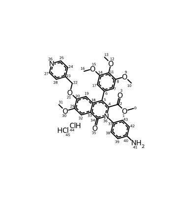 COC(=O)c1c(-c2cc(OC)c(OC)c(OC)c2)c2cc(OCc3ccncc3)c(OC)cc2c(=O)n1-c1ccc(N)cc1.Cl.Cl